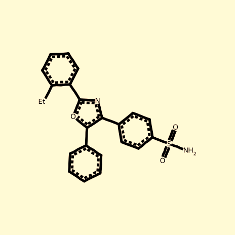 CCc1ccccc1-c1nc(-c2ccc(S(N)(=O)=O)cc2)c(-c2ccccc2)o1